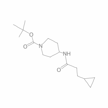 CC(C)(C)OC(=O)N1CCC(NC(=O)CCC2CC2)CC1